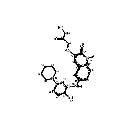 CCNC(=O)COc1cc2cc(Nc3nc(N4CCCCC4)ncc3Cl)ccc2n(C)c1=O